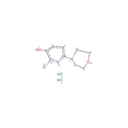 Cl.Cl.Oc1ccc(N2CCOCC2)nc1Cl